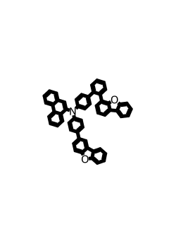 c1ccc(-c2cccc3c2oc2ccccc23)c(-c2ccc(N(c3ccc(-c4ccc5oc6ccccc6c5c4)cc3)c3cc4ccccc4c4ccccc34)cc2)c1